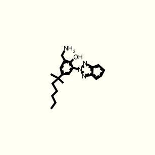 CCCCCC(C)(C)c1cc(CN)c(O)c(-n2nc3ccccc3n2)c1